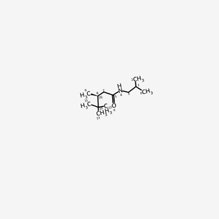 CC(C)CNC(=O)C[C@H](C)C(C)(C)C